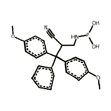 COc1ccc(C(c2ccccc2)(c2ccc(OC)cc2)C(C#N)CNP(O)O)cc1